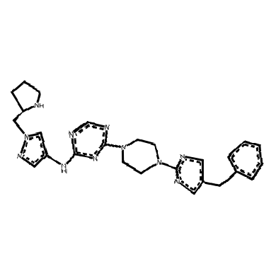 c1ccc(Cc2cnc(N3CCN(c4ncnc(Nc5cnn(C[C@H]6CCCN6)c5)n4)CC3)nc2)cc1